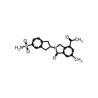 CC(=O)c1cc(C)cc2c1CN(C1Cc3ccc(S(N)(=O)=O)cc3C1)C2=O